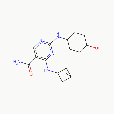 NC(=O)c1cnc(NC2CCC(O)CC2)nc1NC12CC(C1)C2